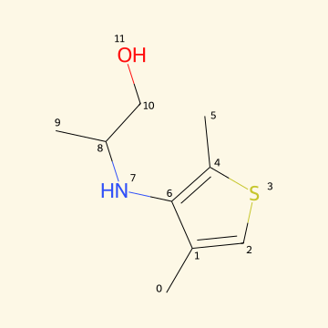 Cc1csc(C)c1NC(C)CO